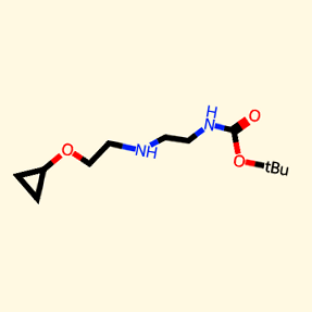 CC(C)(C)OC(=O)NCCNCCOC1CC1